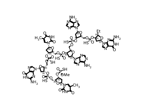 CC[C@H]1O[C@@H](n2cnc3c(=O)[nH]c(N)nc32)C[C@H]1OP(=O)(S)OC[C@H]1O[C@@H](n2cnc3c(N)ncnc32)C[C@H]1OP(=O)(S)OC[C@H]1O[C@@H](n2cnc3c(N)ncnc32)C[C@H]1OP(=O)(S)OC[C@H]1O[C@@H](n2cc(C)c(=O)[nH]c2=O)C[C@H]1OP(=O)(S)OC[C@H]1O[C@@H](n2cnc3c(=O)[nH]c(N)nc32)C[C@H]1OP(=O)(S)OC[C@H]1O[C@@H](n2cc(C)c(=O)[nH]c2=O)C[C@H]1OP(=O)(S)OC